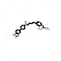 CC(C)Cc1ccc(CCCCNC2CCC(c3ccc4[nH]c(=O)oc4c3)CC2)cc1